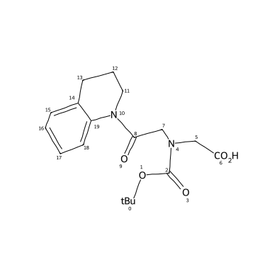 CC(C)(C)OC(=O)N(CC(=O)O)CC(=O)N1CCCc2ccccc21